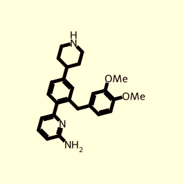 COc1ccc(Cc2cc(C3CCNCC3)ccc2-c2cccc(N)n2)cc1OC